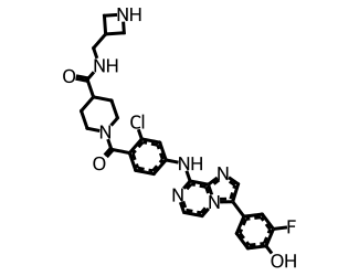 O=C(NCC1CNC1)C1CCN(C(=O)c2ccc(Nc3nccn4c(-c5ccc(O)c(F)c5)cnc34)cc2Cl)CC1